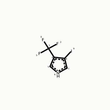 FC(F)(F)c1c[nH]cc1I